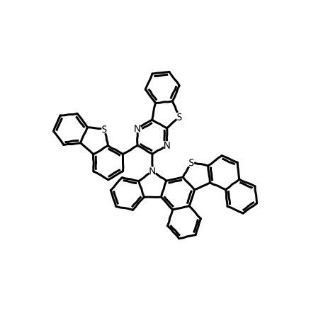 c1ccc2c(c1)ccc1sc3c(c4ccccc4c4c5ccccc5n(-c5nc6sc7ccccc7c6nc5-c5cccc6c5sc5ccccc56)c34)c12